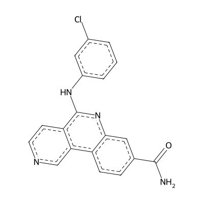 NC(=O)c1ccc2c(c1)nc(Nc1cccc(Cl)c1)c1ccncc12